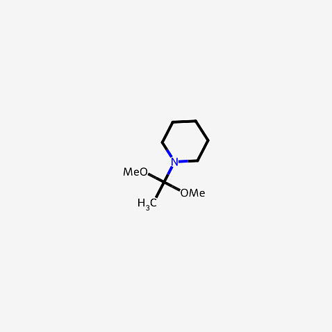 COC(C)(OC)N1CCCCC1